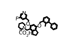 Cc1c(COc2cc(OCc3cncc(F)c3)c(CN3CCCC[C@H]3C(=O)O)c3c2CCC3)cccc1-c1ccccc1